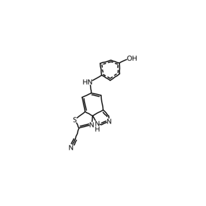 N#CC1=NC23NC=NC=C2C=C(Nc2ccc(O)cc2)C=C3S1